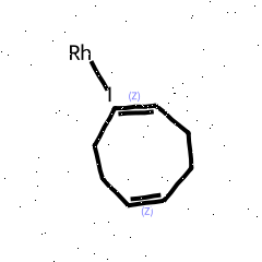 C1=C\CC/C=C\CC/1.[Rh][I]